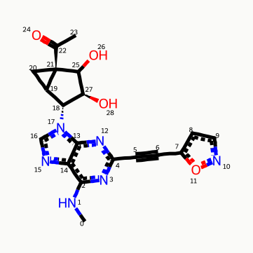 CNc1nc(C#Cc2ccno2)nc2c1ncn2[C@@H]1C2C[C@]2(C(C)=O)C(O)[C@H]1O